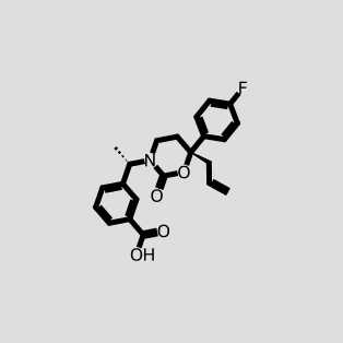 C=CC[C@]1(c2ccc(F)cc2)CCN([C@@H](C)c2cccc(C(=O)O)c2)C(=O)O1